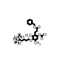 CCC(=O)Oc1cc(C)c(OCCCCC(P(=O)(CC)CC)P(=O)(CC)CC)c(C)c1CCC(=O)OCc1ccccc1